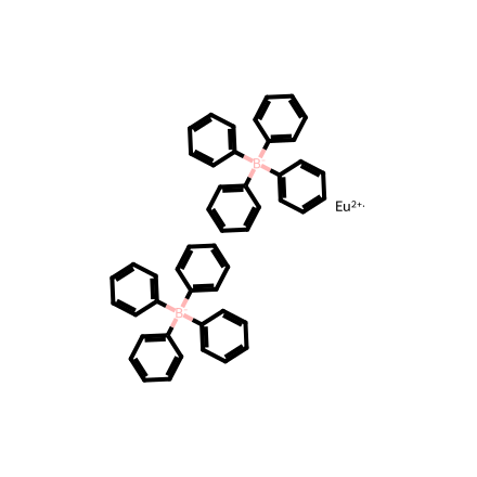 [Eu+2].c1ccc([B-](c2ccccc2)(c2ccccc2)c2ccccc2)cc1.c1ccc([B-](c2ccccc2)(c2ccccc2)c2ccccc2)cc1